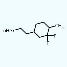 [CH2+][CH-]CCCCCCC1CCC(C)C(F)(F)C1